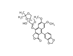 COc1cc2c(O[C@@H]3OC[C@]4(COC(C)(C)O4)[C@H]3O)c3c(c(-c4ccc5c(c4)OCO5)c2cc1OC)C(=O)OC3